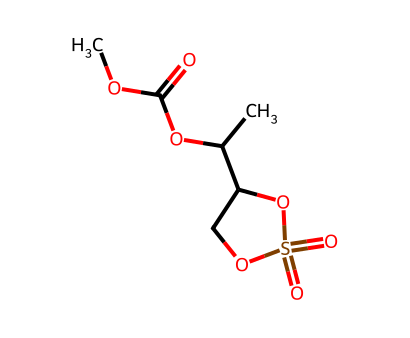 COC(=O)OC(C)C1COS(=O)(=O)O1